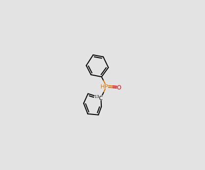 O=[PH](c1ccccc1)[13c]1ccccc1